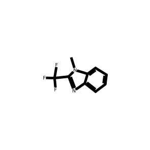 Cn1c(C(F)(F)F)nc2ccccc21